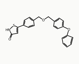 O=c1cc(-c2ccc(COCc3ccc(Oc4ccccc4)cc3)cc2)s[nH]1